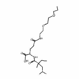 CCCOCCOCCNC(=O)CCC(NC(=O)C(C)(CC)CC(C)C)C(=O)O